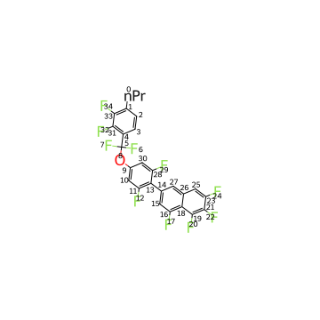 CCCc1ccc(C(F)(F)Oc2cc(F)c(-c3cc(F)c4c(F)c(F)c(F)cc4c3)c(F)c2)c(F)c1F